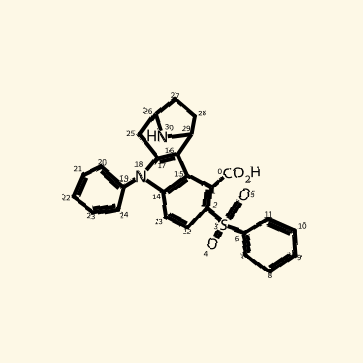 O=C(O)c1c(S(=O)(=O)c2ccccc2)ccc2c1c1c(n2-c2ccccc2)CC2CCC1N2